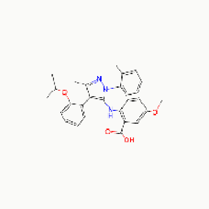 COc1ccc(Nc2c(-c3ccccc3OC(C)C)c(C)nn2-c2ccccc2C)c(C(=O)O)c1